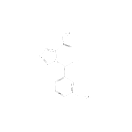 CCCC(c1cccc(OC)c1)n1cncc1C(=O)OC